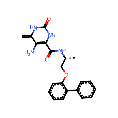 C=C1NC(=O)NC(C(=O)N[C@H](C)COc2ccccc2-c2ccccc2)=C1N